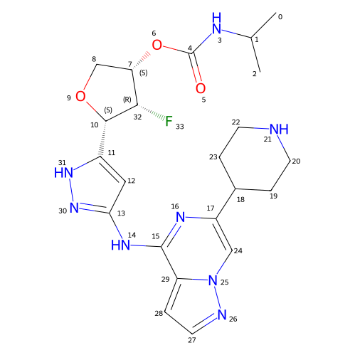 CC(C)NC(=O)O[C@H]1CO[C@@H](c2cc(Nc3nc(C4CCNCC4)cn4nccc34)n[nH]2)[C@H]1F